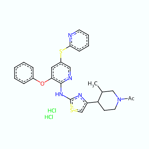 CC(=O)N1CCC(c2csc(Nc3ncc(Sc4ccccn4)cc3Oc3ccccc3)n2)C(C)C1.Cl.Cl